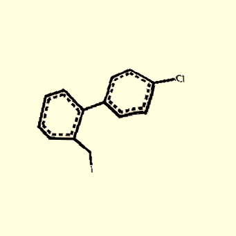 Clc1ccc(-c2ccccc2CI)cc1